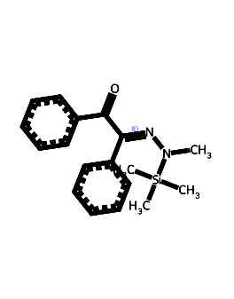 CN(/N=C(/C(=O)c1ccccc1)c1ccccc1)[Si](C)(C)C